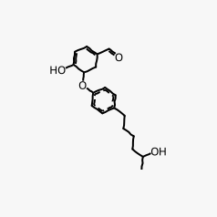 CC(O)CCCCc1ccc(OC2CC(C=O)=CC=C2O)cc1